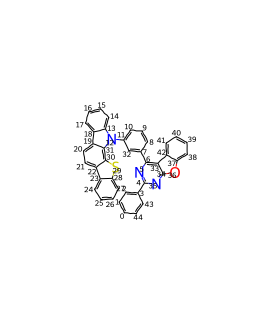 c1ccc(-c2nc(-c3cccc(-n4c5ccccc5c5ccc6c7ccccc7sc6c54)c3)c3c(n2)oc2ccccc23)cc1